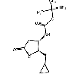 CC(C)(C)OC(=O)N[C@@H]1CC(=O)N[C@@H]1CC1CC1